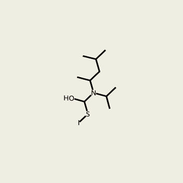 CC(C)CC(C)N(C(C)C)C(O)SI